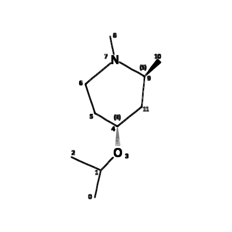 CC(C)O[C@@H]1CCN(C)[C@@H](C)C1